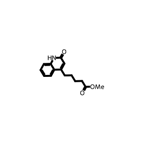 COC(=O)CCCCc1cc(=O)[nH]c2ccccc12